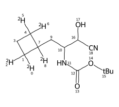 [2H]C1([2H])CC([2H])([2H])C1([2H])CC(NC(=O)OC(C)(C)C)C(O)C#N